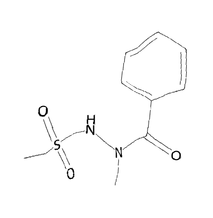 CN(NS(C)(=O)=O)C(=O)c1ccccc1